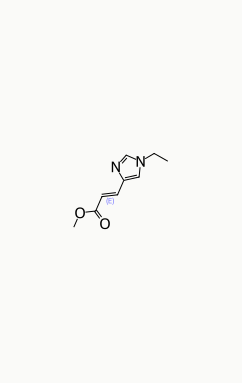 CCn1cnc(/C=C/C(=O)OC)c1